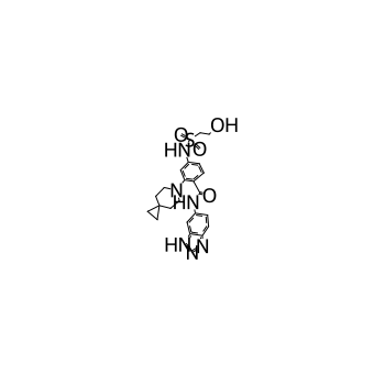 O=C(Nc1ccc2nn[nH]c2c1)c1ccc(NS(=O)(=O)CCO)cc1N1CCC2(CC1)CC2